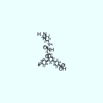 Nc1ccc([C@H]2C[C@@H]2C(=O)NCc2cc3cc(-c4ccc(C(=O)O)cc4)cc(-c4ccc(F)cc4)c3o2)cn1